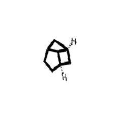 C1C[C@@H]2C[C@@H]3CC1C23